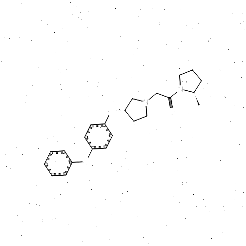 C[C@@H]1CCCN1C(=O)CN1CC[C@H](Oc2ccc(Oc3ccccc3)cc2)C1